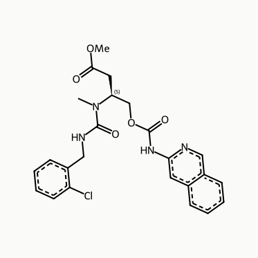 COC(=O)C[C@@H](COC(=O)Nc1cc2ccccc2cn1)N(C)C(=O)NCc1ccccc1Cl